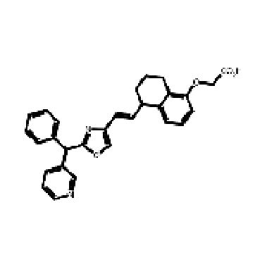 O=C(O)COc1cccc2c1CCCC2C=Cc1coc(C(c2ccccc2)c2cccnc2)n1